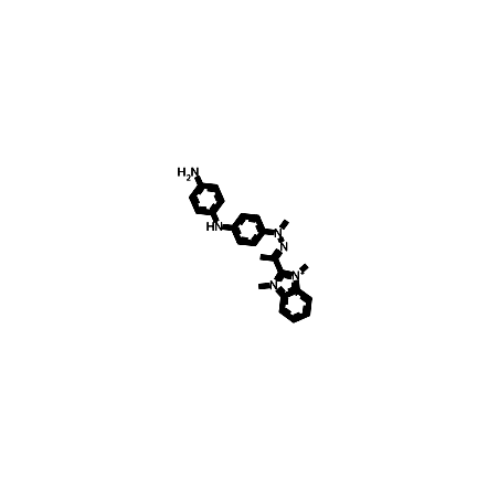 C/C(=N\N(C)c1ccc(Nc2ccc(N)cc2)cc1)c1n(C)c2ccccc2[n+]1C